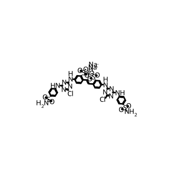 NS(=O)(=O)c1ccc(Nc2nc(Cl)nc(Nc3ccc(C=Cc4ccc(Nc5nc(Cl)nc(Nc6ccc(S(N)(=O)=O)cc6)n5)cc4S(=O)(=O)O)c(S(=O)(=O)O)c3)n2)cc1.[Na].[Na]